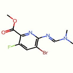 COC(=O)c1nc(N=CN(C)C)c(Br)cc1F